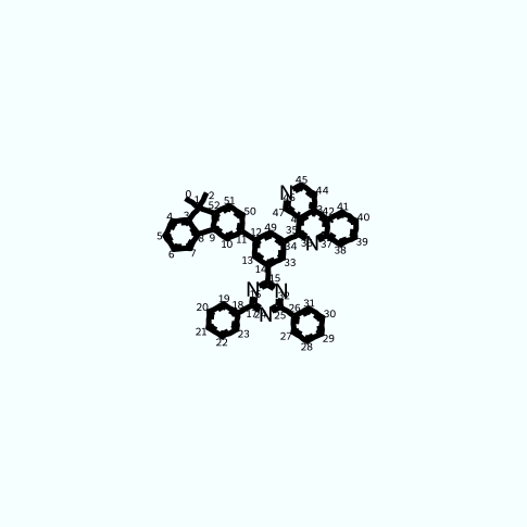 CC1(C)c2ccccc2-c2cc(-c3cc(-c4nc(-c5ccccc5)nc(-c5ccccc5)n4)cc(-c4nc5ccccc5c5ccncc45)c3)ccc21